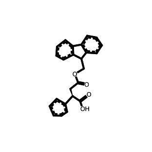 O=C(C[C@@H](C(=O)O)c1ccccc1)OCC1c2ccccc2-c2ccccc21